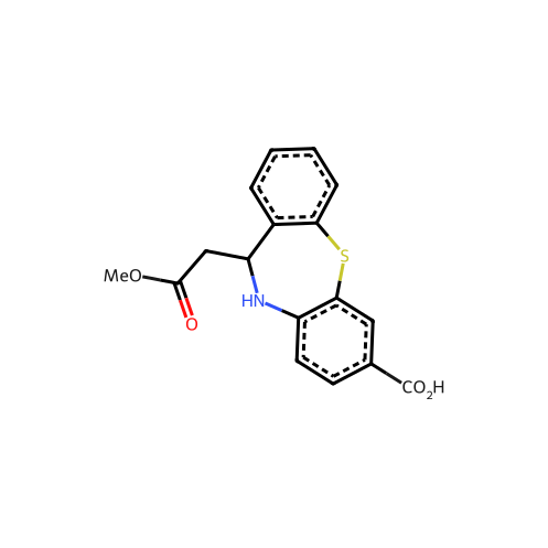 COC(=O)CC1Nc2ccc(C(=O)O)cc2Sc2ccccc21